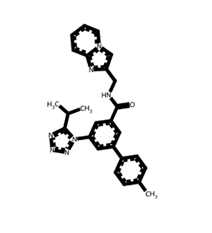 Cc1ccc(-c2cc(C(=O)NCc3cn4ccccc4n3)cc(-n3nnnc3C(C)C)c2)cc1